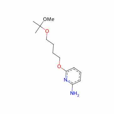 COC(C)(C)OCCCCOc1cccc(N)n1